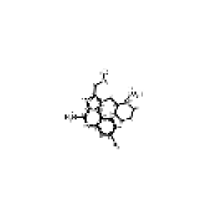 CCOCc1nc2c(N)nc3cc(Br)ccc3c2n1CC1CCCCN1C(=O)O